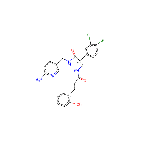 Nc1ccc(CNC(=O)[C@@H](CNC(=O)CCc2ccccc2O)c2ccc(F)c(F)c2)cn1